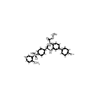 Cc1ccncc1S(=N)(=O)c1ccc(C(=O)Nc2cc(-c3ccc(F)cc3)ccc2NC(=O)OC(C)(C)C)cc1